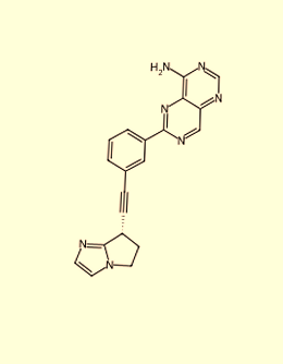 Nc1ncnc2cnc(-c3cccc(C#C[C@@H]4CCn5ccnc54)c3)nc12